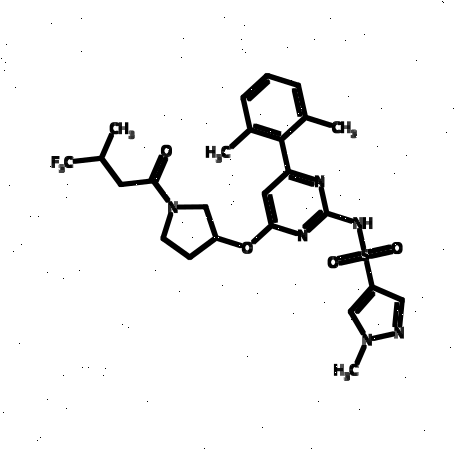 Cc1cccc(C)c1-c1cc(OC2CCN(C(=O)CC(C)C(F)(F)F)C2)nc(NS(=O)(=O)c2cnn(C)c2)n1